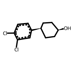 O[C@H]1CC[C@@H](c2ccc(Cl)c(Cl)c2)CC1